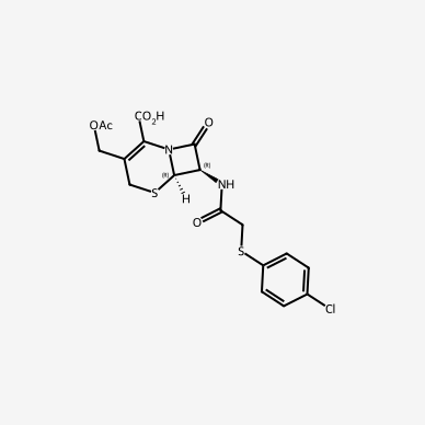 CC(=O)OCC1=C(C(=O)O)N2C(=O)[C@@H](NC(=O)CSc3ccc(Cl)cc3)[C@H]2SC1